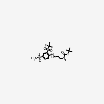 CN(CCCNc1ccc(S(N)(=O)=O)cc1S(=O)(=O)C(F)(F)F)C(=O)OC(C)(C)C